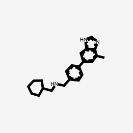 Cc1cc(-c2ccc(CNCC3CCCCC3)cc2)cc2[nH]cnc12